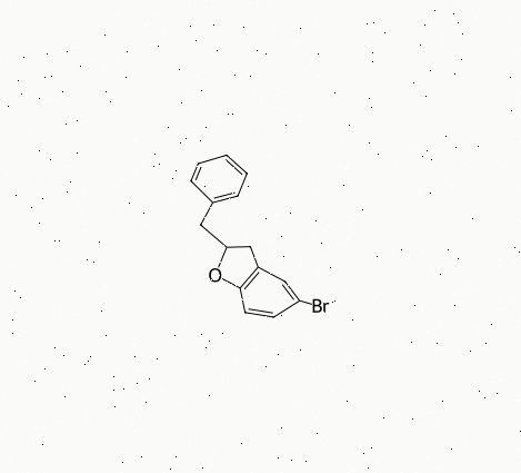 Brc1ccc2c(c1)CC(Cc1ccccc1)O2